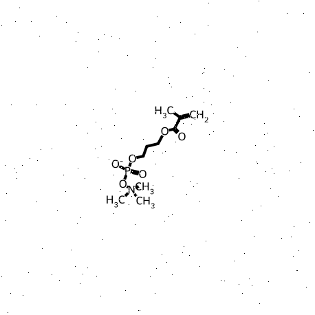 C=C(C)C(=O)OCCCOP(=O)([O-])O[N+](C)(C)C